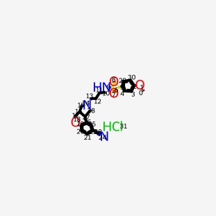 COc1ccc(S(=O)(=O)NCCCCN2CC3COc4ccc(C#N)cc4C3C2)cc1.Cl